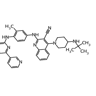 Cc1cc(Nc2nc3ccccc3c(N3CCC(NC(C)(C)C)CC3)c2C#N)ccc1Nc1nccc(-c2cccnc2)n1